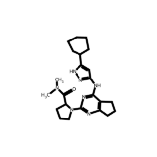 CN(C)C(=O)C1CCCN1c1nc2c(c(Nc3cc(C4CCCCC4)[nH]n3)n1)CCC2